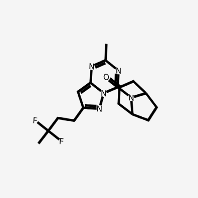 Cc1nc(N2C3CCC2CC(=O)C3)n2nc(CCC(C)(F)F)cc2n1